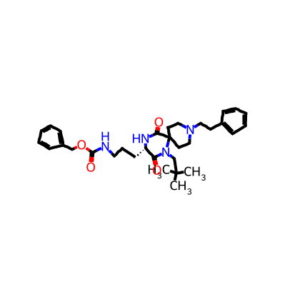 CC(C)(C)CN1C(=O)[C@H](CCCNC(=O)OCc2ccccc2)NC(=O)C12CCN(CCc1ccccc1)CC2